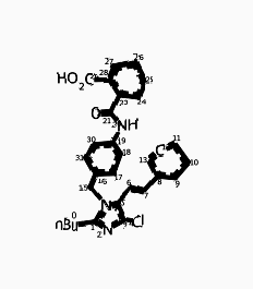 CCCCc1nc(Cl)c(C=Cc2ccccc2)n1Cc1ccc(NC(=O)c2ccccc2C(=O)O)cc1